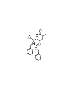 CC1CCC(C(C2CC2)N(Cc2ccccc2)C(=O)OCc2ccccc2)OC1=O